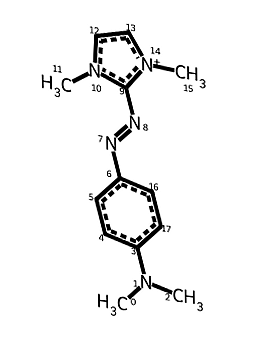 CN(C)c1ccc(/N=N/c2n(C)cc[n+]2C)cc1